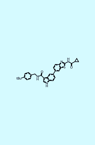 CC(C)(C)c1ccc(CNC(=O)c2c[nH]c3ccc(-c4ccc5nc(NC(=O)C6CC6)sc5c4)cc23)cc1